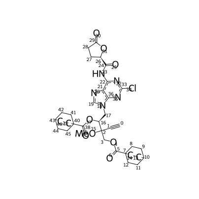 C#CC(COC(=O)C12CCC(CC1)CC2)(OC)[C@H](Cn1cnc2c(NC(=O)[C@H]3CCC(=O)O3)nc(Cl)nc21)OC(=O)C12CCC(CC1)CC2